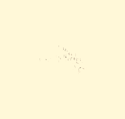 CCN1C(NCCCCO)CC(C)NC1NC(=O)Nc1ccc(F)c(Cl)c1